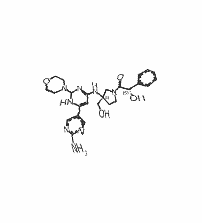 Nc1ncc(C2=CC(N[C@@]3(CO)CCN(C(=O)[C@@H](O)c4ccccc4)C3)=NC(N3CCOCC3)N2)cn1